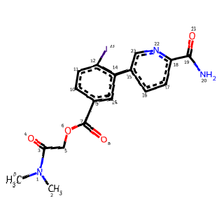 CN(C)C(=O)COC(=O)c1ccc(I)c(-c2ccc(C(N)=O)nc2)c1